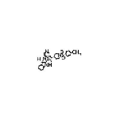 Cc1ccc(S(=O)(=O)N2CCC(C3=C4C=NC=C[N+]4(N)C(c4cc5ccccc5[nH]4)=N3)CC2)cc1